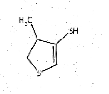 CC1CSC=C1S